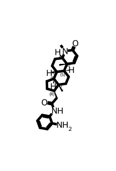 CN1C(=O)C=C[C@]2(C)[C@H]3CC[C@]4(C)[C@@H](CC(=O)Nc5ccccc5N)CC[C@H]4[C@@H]3CC[C@@H]12